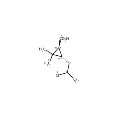 CC1(C)[C@@H](CC(Cl)C(F)(F)F)[C@@H]1C(=O)O